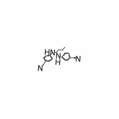 CCCC(Nc1ccc(C#N)cc1)Nc1ccc(C#N)cc1